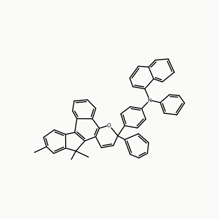 Cc1ccc2c(c1)C(C)(C)c1c3c(c4ccccc4c1-2)OC(c1ccccc1)(c1ccc(N(c2ccccc2)c2cccc4ccccc24)cc1)C=C3